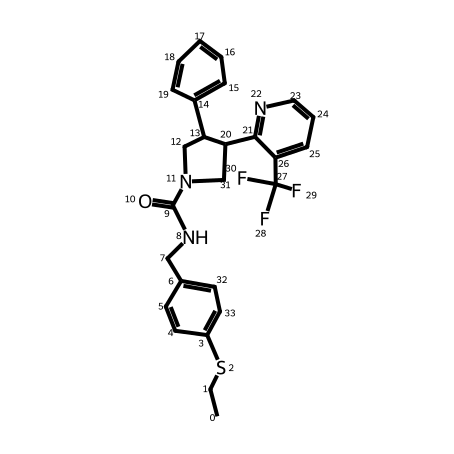 CCSc1ccc(CNC(=O)N2CC(c3ccccc3)C(c3ncccc3C(F)(F)F)C2)cc1